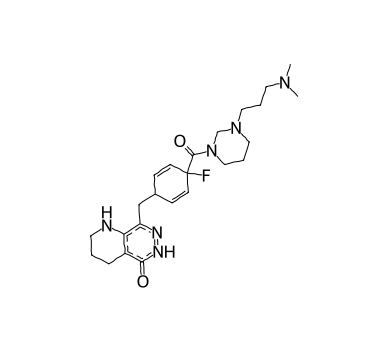 CN(C)CCCN1CCCN(C(=O)C2(F)C=CC(Cc3n[nH]c(=O)c4c3NCCC4)C=C2)C1